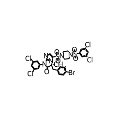 C[C@@]1(Cc2ccc(Br)cc2)C(=O)N(c2cc(Cl)cc(Cl)c2)c2ncc(S(=O)(=O)N3CCN(S(=O)(=O)c4cc(Cl)cc(Cl)c4)CC3)n21